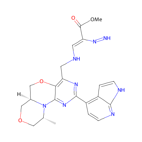 COC(=O)/C(=C/NCc1nc(-c2ccnc3[nH]ccc23)nc2c1OC[C@@H]1COC[C@@H](C)N21)N=N